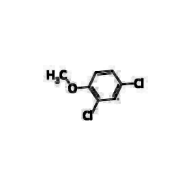 COc1ccc(Cl)[c]c1Cl